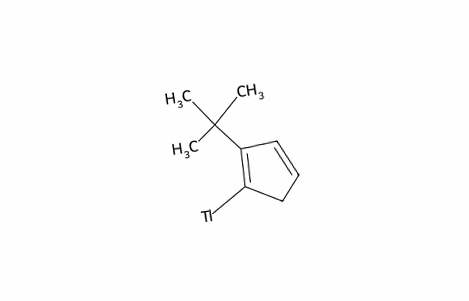 CC(C)(C)C1=[C]([Tl])CC=C1